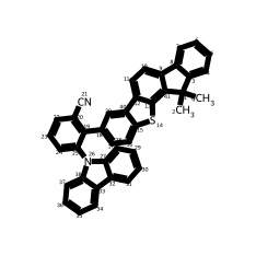 CC1(C)c2ccccc2-c2ccc3c(sc4ccc(-c5c(C#N)cccc5-n5c6ccccc6c6ccccc65)cc43)c21